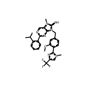 COc1cc(Cn2c(=N)n(C)c3cnc(-c4ccccc4C(C)C)nc32)ccc1-c1nc(C(F)(F)F)cn1C